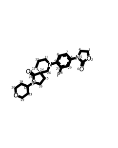 O=C1OCCN1c1ccc(N2CCC[C@@]3(CCN(C4CCOCC4)C3=O)C2)c(F)c1